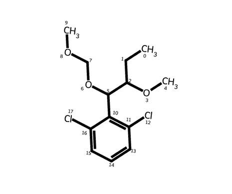 CCC(OC)C(OCOC)c1c(Cl)cccc1Cl